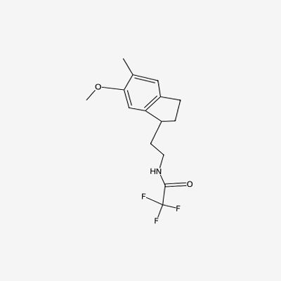 COc1cc2c(cc1C)CCC2CCNC(=O)C(F)(F)F